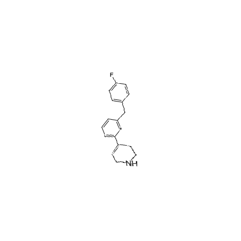 Fc1ccc(Cc2cccc(C3=CCNCC3)c2)cc1